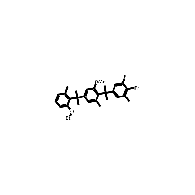 CCOc1cccc(C)c1C(C)(C)c1cc(C)c(C(C)(C)c2cc(C)c(C(C)C)c(F)c2)c(OC)c1